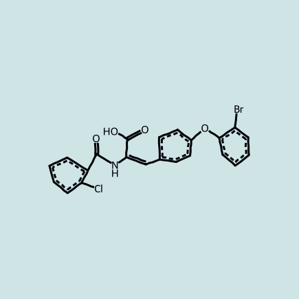 O=C(O)/C(=C\c1ccc(Oc2ccccc2Br)cc1)NC(=O)c1ccccc1Cl